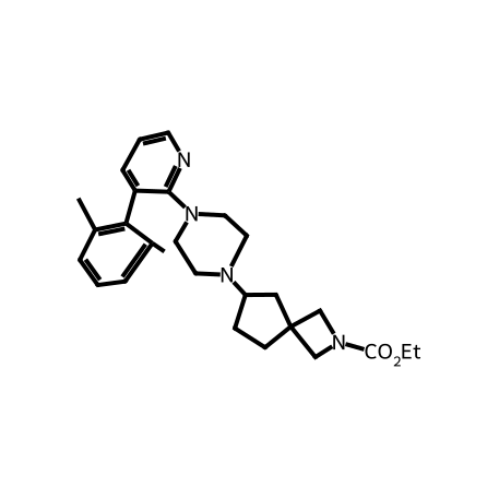 CCOC(=O)N1CC2(CCC(N3CCN(c4ncccc4-c4c(C)cccc4C)CC3)C2)C1